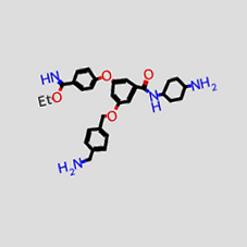 CCOC(=N)c1ccc(Oc2cc(OCc3ccc(CN)cc3)cc(C(=O)NC3CCC(N)CC3)c2)cc1